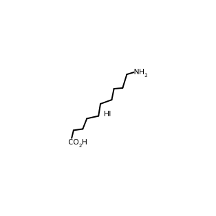 I.NCCCCCCCCCC(=O)O